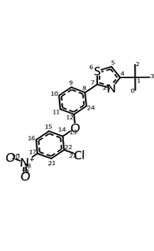 CC(C)(C)c1csc(-c2cccc(Oc3ccc([N+](=O)[O-])cc3Cl)c2)n1